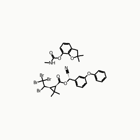 CC1(C)[C@H](C(=O)O[C@H](C#N)c2cccc(Oc3ccccc3)c2)[C@@H]1C(Br)C(Br)(Br)Br.CNC(=O)Oc1cccc2c1OC(C)(C)C2